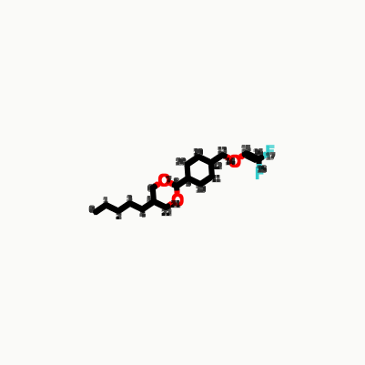 CCCCCC1COC(C2CCC(COC=C(F)F)CC2)OC1